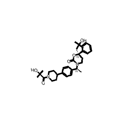 C[C@@H](c1ccc(C2CCN(C(=O)C(C)(C)O)CC2)cc1)N1CC[C@](CC(C)(C)O)(c2ccccc2)OC1=O